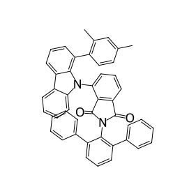 Cc1ccc(-c2cccc3c4ccccc4n(-c4cccc5c4C(=O)N(c4c(-c6ccccc6)cccc4-c4ccccc4)C5=O)c23)c(C)c1